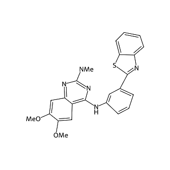 CNc1nc(Nc2cccc(-c3nc4ccccc4s3)c2)c2cc(OC)c(OC)cc2n1